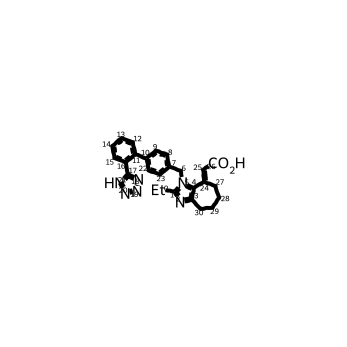 CCc1nc2c(n1Cc1ccc(-c3ccccc3-c3nnn[nH]3)cc1)C(=CC(=O)O)CCCC2